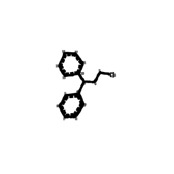 ClCCC(c1ccccc1)c1ccccc1